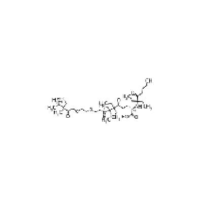 CCCCC(=O)C(CC)(CC)N[C@@H](CCC(=O)C(CC)(CC)C(C)(CC)NCCOCCOCC(=O)C(C)(CC)C(C)C)C(=O)O